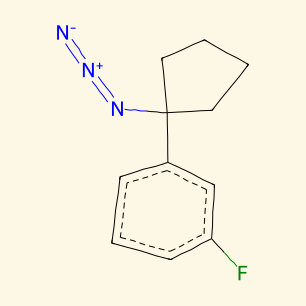 [N-]=[N+]=NC1(c2cccc(F)c2)CCCC1